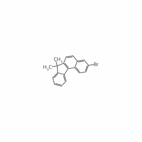 CC1(C)c2ccccc2-c2c1ccc1cc(Br)ccc21